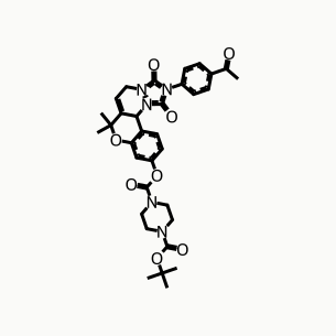 CC(=O)c1ccc(-n2c(=O)n3n(c2=O)C2C(=CC3)C(C)(C)Oc3cc(OC(=O)N4CCN(C(=O)OC(C)(C)C)CC4)ccc32)cc1